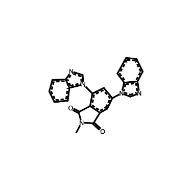 CN1C(=O)c2cc(-n3cnc4ccccc43)cc(-n3cnc4ccccc43)c2C1=O